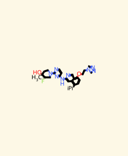 CC(C)c1ccc(OCCn2cnnc2)c2cnc(Nc3ccnc(N4CC[C@@](C)(O)[C@@H](F)C4)n3)cc12